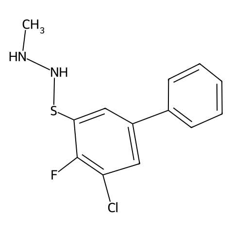 CNNSc1cc(-c2ccccc2)cc(Cl)c1F